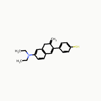 C=C1Cc2cc(N(CC)CC)ccc2C=C1c1ccc(S)cc1